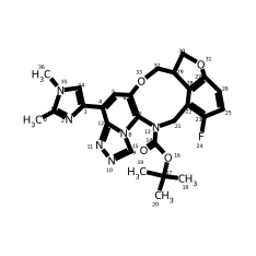 Cc1nc(-c2cc3c(n4cnnc24)N(C(=O)OC(C)(C)C)Cc2c(F)ccc4c2C(CO4)CO3)cn1C